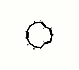 [C]1=C/C=C\C=C\CC/C=C\CCC/1